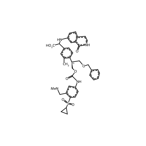 CNCc1cc(NC(=O)OC[C@H](COCc2ccccc2)c2ccc(C(Nc3ccc4cc[nH]c(=O)c4c3)C(=O)O)cc2C)ccc1S(=O)(=O)C1CC1